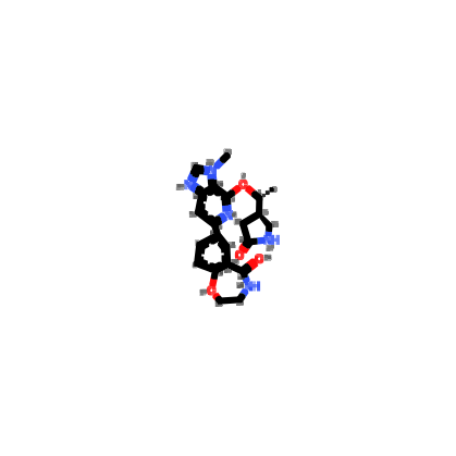 C[C@@H](Oc1nc(-c2ccc3c(c2)C(=O)NCCO3)cc2ncn(C)c12)[C@H]1CNC(=O)C1